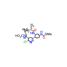 C=CC[C@H](NC(=O)O)c1cc(-c2ccc(NC(=O)OC)cc2NC(=O)C(C)C=C)nnc1Cl